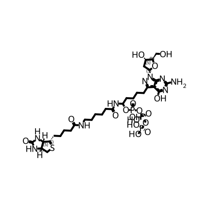 Nc1nc(O)c2c(CCCCC(NC(=O)CCCCCNC(=O)CCCC[C@@H]3SC[C@@H]4NC(=O)N[C@@H]43)OP(=O)(O)OP(=O)(O)OP(=O)(O)O)nn([C@@H]3C[C@H](O)[C@@H](CO)O3)c2n1